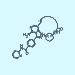 Nc1ncc2c3c1c(-c1ccc(C(=O)Nc4ccccn4)cc1)nn3[C@@H]1CCC[C@H](C1)NC(=O)CCCCC/C=C/2